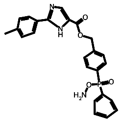 Cc1ccc(-c2ncc(C(=O)OCc3ccc(P(=O)(ON)c4ccccc4)cc3)[nH]2)cc1